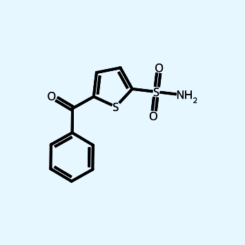 NS(=O)(=O)c1ccc(C(=O)c2ccccc2)s1